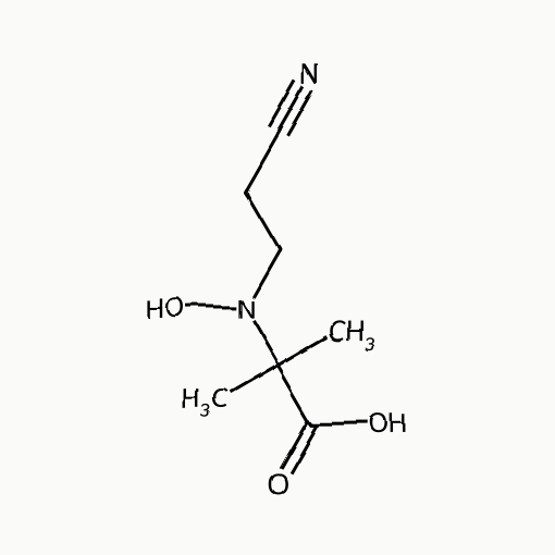 CC(C)(C(=O)O)N(O)CCC#N